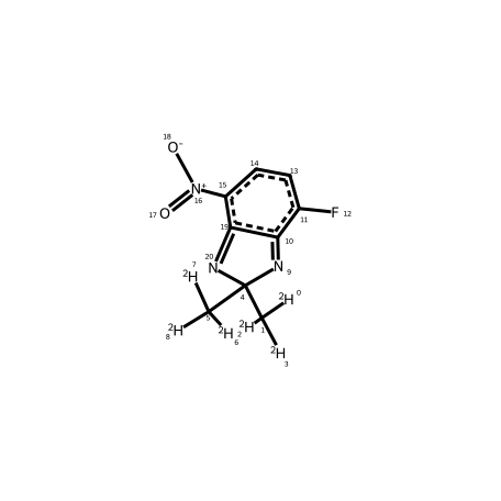 [2H]C([2H])([2H])C1(C([2H])([2H])[2H])N=c2c(F)ccc([N+](=O)[O-])c2=N1